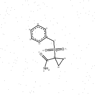 NC(=O)C1(S(=O)(=O)Cc2ccccc2)CC1